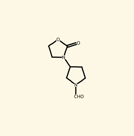 O=CN1CCC(N2CCOC2=O)C1